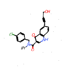 CC(C)N(Cc1ccc(Cl)cc1)C(=O)c1c[nH]c2ccc(C#CCO)cc2c1=O